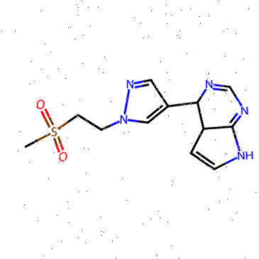 CS(=O)(=O)CCn1cc(C2N=CN=C3NC=CC32)cn1